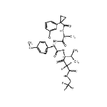 COc1ccc([C@H](NC(=O)[C@H](C)NC(=O)C2(c3cccc(Cl)c3)CC2)C(=O)N[C@H](C(=O)C(F)(F)C(=O)NCC(F)(F)F)C(C)C)cc1